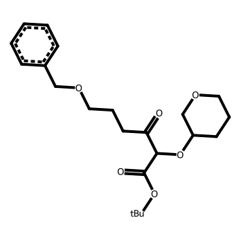 CC(C)(C)OC(=O)C(OC1CCCOC1)C(=O)CCCOCc1ccccc1